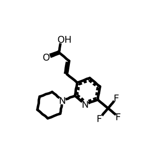 O=C(O)/C=C/c1ccc(C(F)(F)F)nc1N1CCCCC1